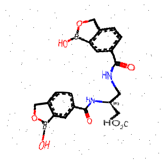 O=C(O)C[C@H](CNC(=O)c1ccc2c(c1)B(O)OC2)NC(=O)c1ccc2c(c1)B(O)OC2